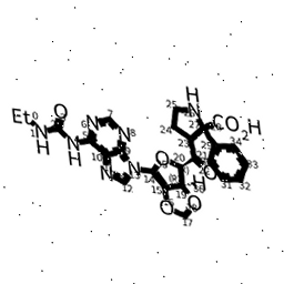 CCNC(=O)Nc1ncnc2c1ncn2C1=C2OCO[C@@H]2[C@H](C(=O)C2CCNC2(C(=O)O)c2ccccc2)O1